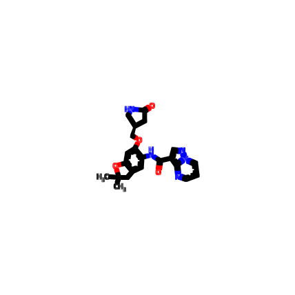 CC1(C)Cc2cc(NC(=O)c3cnn4cccnc34)c(OC[C@H]3CNC(=O)C3)cc2O1